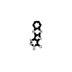 O=c1[nH]nnc2c1sc1nc3ccccc3nc12